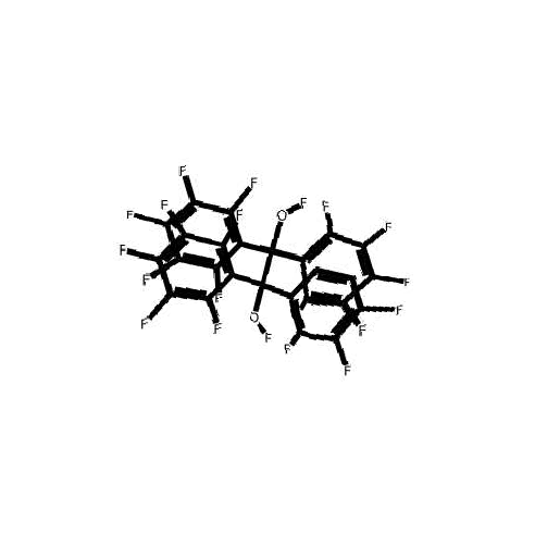 FOC(c1ccc(F)c(F)c1F)(c1c(F)c(F)c(F)c(F)c1F)C(OF)(c1c(F)c(F)c(F)c(F)c1F)c1c(F)c(F)c(F)c(F)c1F